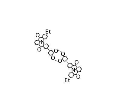 CCc1ccc2c(c1)c(=O)c1cccc3c(=O)c4cc(-c5ccc6c(c5)OCCOc5ccc(-c7ccc8c(c7)c(=O)c7cccc9c(=O)c%10cc(CC)ccc%10n8c97)cc5OCCO6)ccc4n2c13